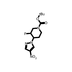 CC(C)(C)OC(=O)N1CCC(n2cc([N+](=O)[O-])cn2)C(F)C1